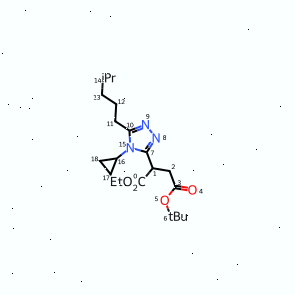 CCOC(=O)C(CC(=O)OC(C)(C)C)c1nnc(CCCC(C)C)n1C1CC1